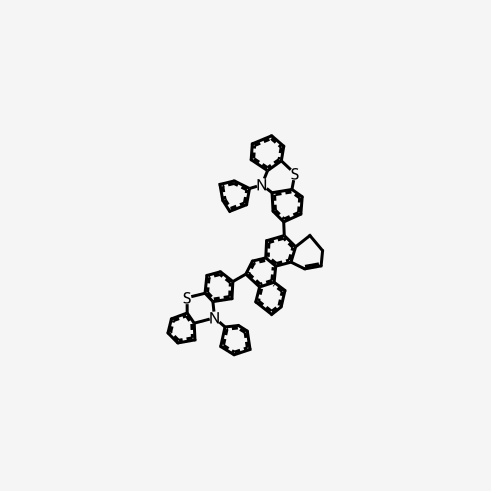 C1=Cc2c(c(-c3ccc4c(c3)N(c3ccccc3)c3ccccc3S4)cc3cc(-c4ccc5c(c4)N(c4ccccc4)c4ccccc4S5)c4ccccc4c23)CC1